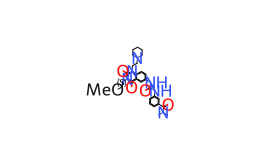 COC[C@H](C)n1c(=O)c2cc(NC(=O)Nc3cccc(C(=O)N(C)C)c3)ccc2n(CCN2CCCCC2)c1=O